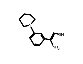 N/C(=C\S)c1cccc(N2CCCCC2)c1